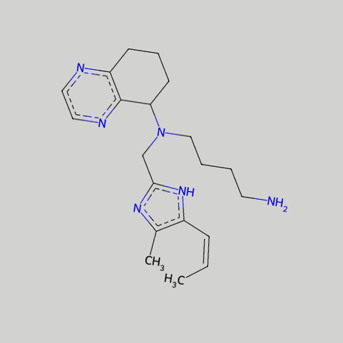 C/C=C\c1[nH]c(CN(CCCCN)C2CCCc3nccnc32)nc1C